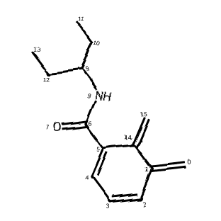 C=c1cccc(C(=O)NC(CC)CC)c1=C